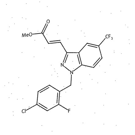 COC(=O)/C=C/c1nn(Cc2ccc(Cl)cc2F)c2ccc(C(F)(F)F)cc12